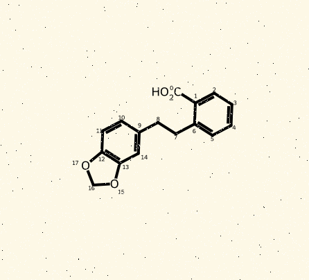 O=C(O)c1ccccc1CCc1ccc2c(c1)OCO2